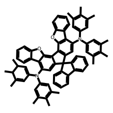 CC1=CC(N(c2cc(C)c(C)c(C)c2)c2cc3c(c4oc5ccccc5c24)-c2c(cc(N(c4cc(C)c(C)c(C)c4)c4cc(C)c(C)c(C)c4)c4c2oc2ccccc24)C32c3ccccc3-c3ccccc32)=CC(C)C1C